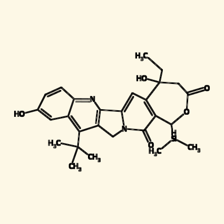 CCC1(O)CC(=O)OC([SiH](C)C)c2c1cc1n(c2=O)Cc2c-1nc1ccc(O)cc1c2C(C)(C)C